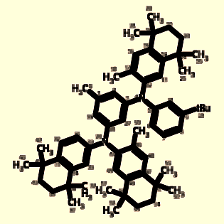 Cc1cc(N(c2cccc(C(C)(C)C)c2)c2cc3c(cc2C)C(C)(C)CCC3(C)C)cc(N(c2ccc3c(c2)C(C)(C)CCC3(C)C)c2cc3c(cc2C)C(C)(C)CCC3(C)C)c1